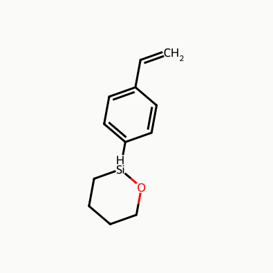 C=Cc1ccc([SiH]2CCCCO2)cc1